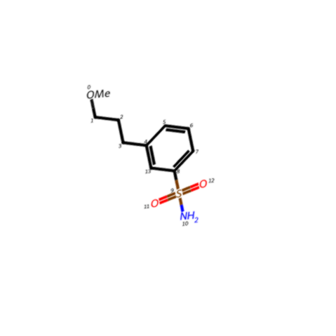 COCCCc1cccc(S(N)(=O)=O)c1